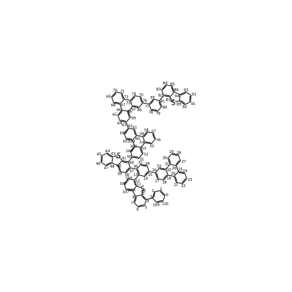 c1ccc(-c2cccc3c2sc2c(-c4cc(-c5ccc6c7ccccc7c7ccccc7c6c5)ccc4-c4ccc5c(sc6ccccc65)c4-c4ccc5c6ccccc6c6cc(-c7ccc8c9ccccc9c9ccc(-c%10cccc(-c%11cccc%12c%11sc%11ccccc%11%12)c%10)cc9c8c7)ccc6c5c4)cccc23)cc1